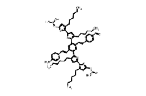 CCCCCCc1cc(OP(O)O)sc1-c1cc(CCCCCC)c(-c2cc(/C=C/c3ccc(N)cc3)c(-c3sc(-c4sc(O[PH](=O)O)cc4CCCCCC)cc3CCCCCC)cc2/C=C/c2ccc(C=O)cc2)s1